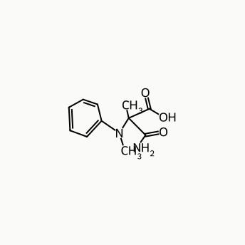 CN(c1ccccc1)C(C)(C(N)=O)C(=O)O